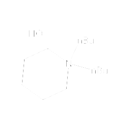 CCCC[N+]1(CCCC)CCCCC1.[OH-]